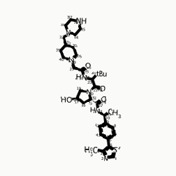 Cc1ncsc1-c1ccc(C(C)NC(=O)[C@@H]2C[C@@H](O)CN2C(=O)C(NC(=O)CN2CCC(CN3CCNCC3)CC2)C(C)(C)C)cc1